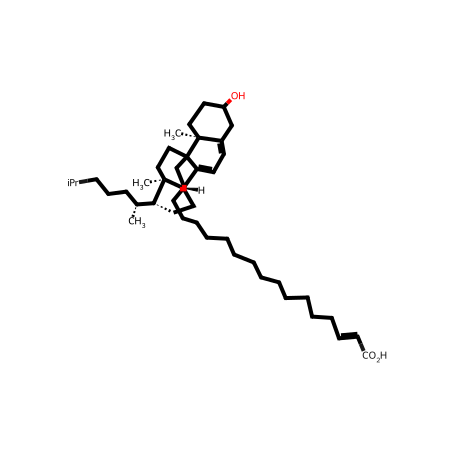 CC(C)CCC[C@@H](C)[C@H]1CC[C@H]2C3=CC=C4CC(O)CC[C@]4(C)C3(CCCCCCCCCCCCCCCC=CC(=O)O)CC[C@]12C